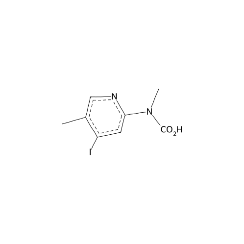 Cc1cnc(N(C)C(=O)O)cc1I